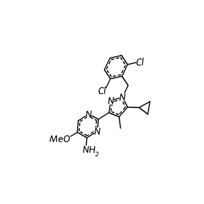 COc1cnc(-c2nn(Cc3c(Cl)cccc3Cl)c(C3CC3)c2C)nc1N